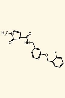 Cn1ccc(C(=O)NCc2cccc(OCc3ccccc3F)c2)cc1=O